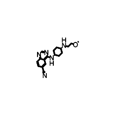 COCCN[C@H]1CC[C@H](Nc2ncnc3ccc(C#N)cc23)CC1